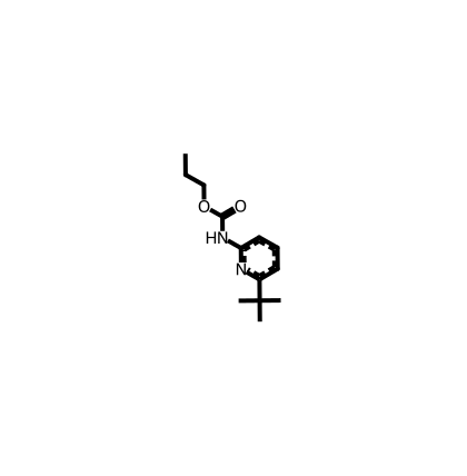 CCCOC(=O)Nc1cccc(C(C)(C)C)n1